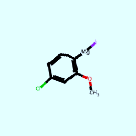 COc1cc(Cl)cc[c]1[Mg][I]